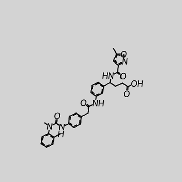 Cc1cc(C(=O)NC(CCC(=O)O)c2cccc(NC(=O)Cc3ccc(NC(=O)N(C)c4ccccc4C)cc3)c2)no1